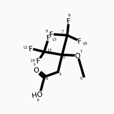 COC(CC(=O)O)(C(F)(F)F)C(F)(F)F